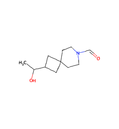 CC(O)C1CC2(CCN(C=O)CC2)C1